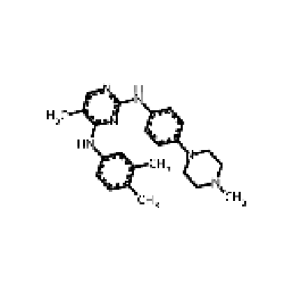 Cc1ccc(Nc2nc(Nc3ccc(N4CCN(C)CC4)cc3)ncc2C)cc1C